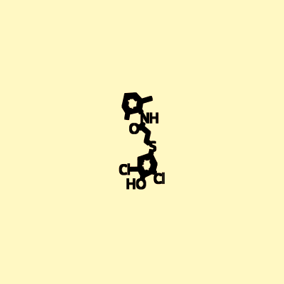 Cc1cccc(C)c1NC(=O)CCSc1cc(Cl)c(O)c(Cl)c1